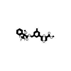 COC(=O)C1=COC=C(C2=CC(C)=CC(COC(=O)C(OC)(c3ccccc3)C(F)(F)F)C2)O1